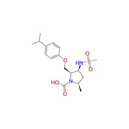 CC(C)c1ccc(OC[C@H]2[C@@H](NS(C)(=O)=O)C[C@@H](C)N2C(=O)O)cc1